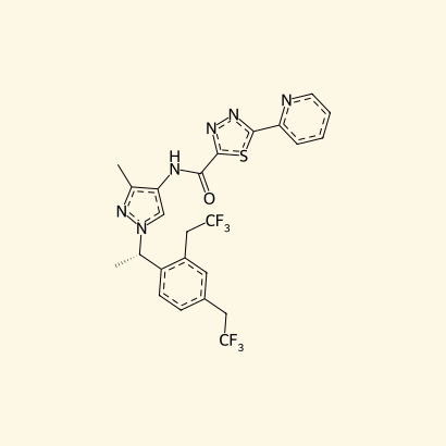 Cc1nn([C@@H](C)c2ccc(CC(F)(F)F)cc2CC(F)(F)F)cc1NC(=O)c1nnc(-c2ccccn2)s1